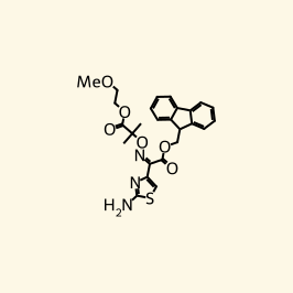 COCCOC(=O)C(C)(C)ON=C(C(=O)OCC1c2ccccc2-c2ccccc21)c1csc(N)n1